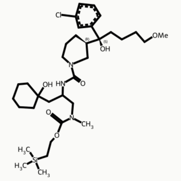 COCCCC[C@@](O)(c1cccc(Cl)c1)[C@@H]1CCCN(C(=O)NC(CN(C)C(=O)OCC[Si](C)(C)C)CC2(O)CCCCC2)C1